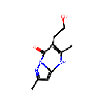 Cc1cc2[nH]c(C)c(CCO)c(=O)n2n1